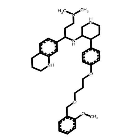 COc1ccccc1COCCCOc1ccc(C2CCNCC2NC(CCN(C)C)c2ccc3c(c2)NCCC3)cc1